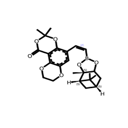 CC1(C)OC(=O)c2c(c(/C=C\B3OC4C[C@@H]5C[C@@H](C5(C)C)[C@]4(C)O3)cc3c2OCCO3)O1